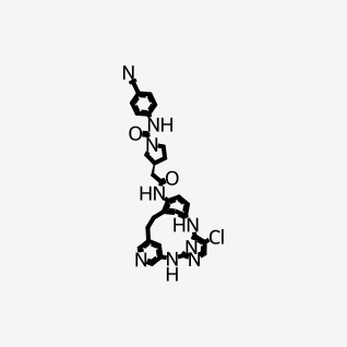 N#Cc1ccc(NC(=O)N2CC[C@@H](CC(=O)Nc3ccc4cc3CCc3cncc(c3)Nc3ncc(Cl)c(n3)N4)C2)cc1